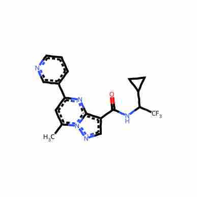 Cc1cc(-c2cccnc2)nc2c(C(=O)NC(C3CC3)C(F)(F)F)cnn12